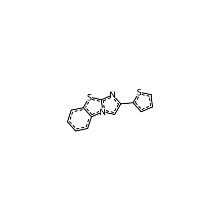 c1csc(-c2cn3c(n2)sc2ccccc23)c1